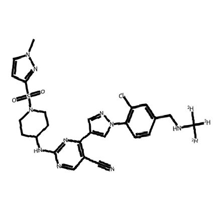 [2H]C([2H])([2H])NCc1ccc(-n2cc(-c3nc(NC4CCN(S(=O)(=O)c5ccn(C)n5)CC4)ncc3C#N)cn2)c(Cl)c1